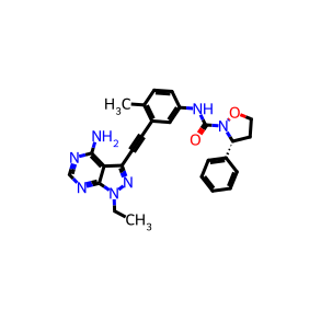 CCn1nc(C#Cc2cc(NC(=O)N3OCC[C@@H]3c3ccccc3)ccc2C)c2c(N)ncnc21